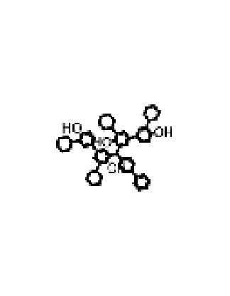 Oc1ccc(-c2cc(C3CCCCC3)c(O)c(C(c3ccc(-c4ccccc4)cc3)c3cc(-c4ccc(O)c(C5CCCCC5)c4)cc(C4CCCCC4)c3O)c2)cc1C1CCCCC1